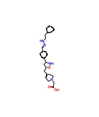 O=C(O)CN1CC=C(CC2CC(c3ccc(C=NNCCc4ccccc4)cc3)NO2)CC1